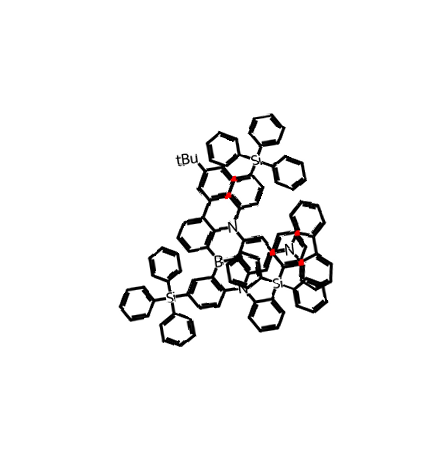 CC(C)(C)c1cccc(-c2cccc3c2N(c2ccc([Si](c4ccccc4)(c4ccccc4)c4ccccc4)cc2)c2cc(-n4c5ccccc5c5ccccc54)cc4c2B3c2cc([Si](c3ccccc3)(c3ccccc3)c3ccccc3)ccc2N4c2ccccc2[Si](c2ccccc2)(c2ccccc2)c2ccccc2)c1